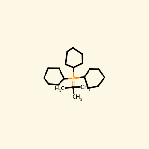 CC(C)(C)[PH](C1CCCCC1)(C1CCCCC1)C1CCCCC1